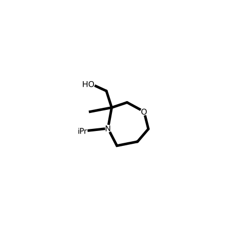 CC(C)N1CCCOCC1(C)CO